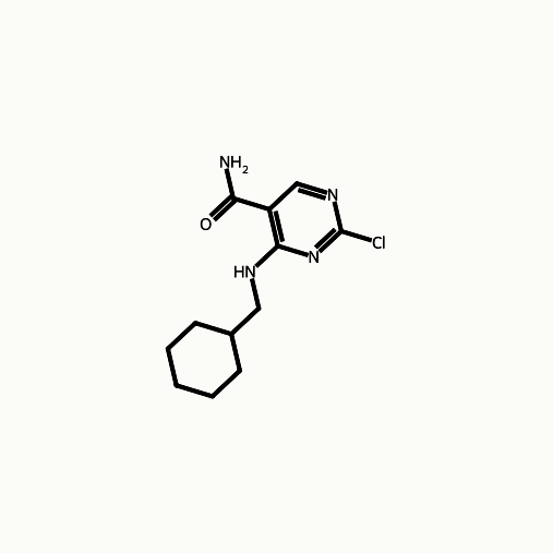 NC(=O)c1cnc(Cl)nc1NCC1CCCCC1